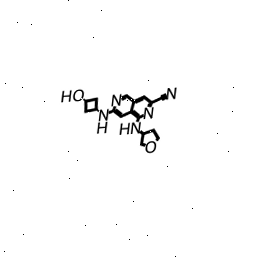 N#Cc1cc2cnc(N[C@H]3C[C@@H](O)C3)cc2c(NC2CCOC2)n1